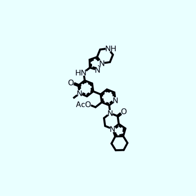 CC(=O)OCc1c(-c2cc(Nc3cc4n(n3)CCNC4)c(=O)n(C)c2)ccnc1N1CCn2c(cc3c2CCCC3)C1=O